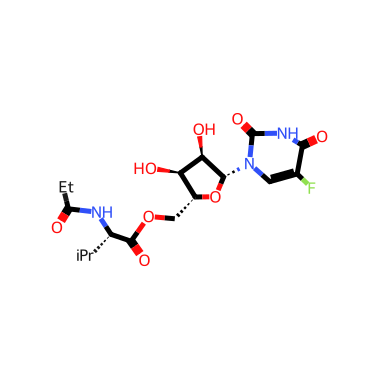 CCC(=O)N[C@H](C(=O)OC[C@H]1O[C@@H](n2cc(F)c(=O)[nH]c2=O)[C@H](O)[C@@H]1O)C(C)C